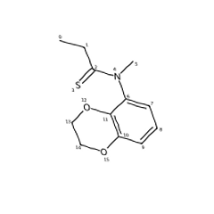 CCC(=S)N(C)c1cccc2c1OCCO2